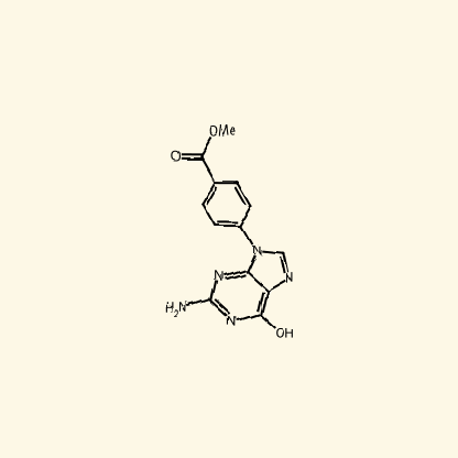 COC(=O)c1ccc(-n2cnc3c(O)nc(N)nc32)cc1